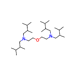 CC(C)C(C)CN(CCOCCN(CC(C)C(C)C)CC(C)C(C)C)CC(C)C(C)C